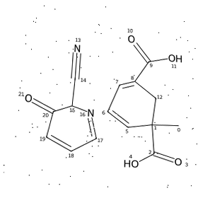 CC1(C(=O)O)C=CC=C(C(=O)O)C1.N#CC1N=CC=CC1=O